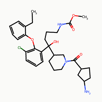 CCc1ccccc1Oc1c(Cl)cccc1C(O)(CCCNC(=O)OC)C1CCCN(C(=O)C2CCC(N)C2)C1